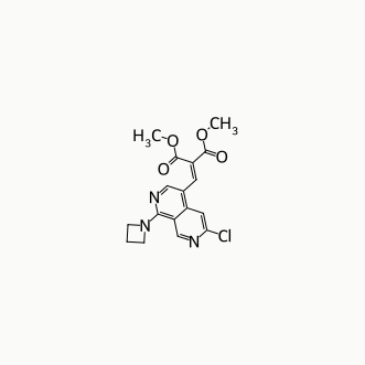 COC(=O)C(=Cc1cnc(N2CCC2)c2cnc(Cl)cc12)C(=O)OC